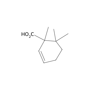 CC1(C)CCC=CC1(C)C(=O)O